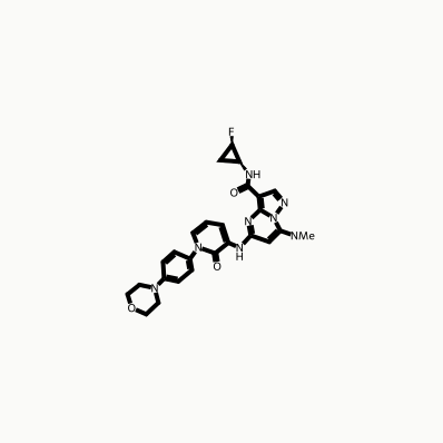 CNc1cc(Nc2cccn(-c3ccc(N4CCOCC4)cc3)c2=O)nc2c(C(=O)N[C@H]3C[C@H]3F)cnn12